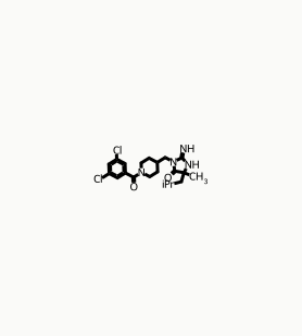 CC(C)CC1(C)NC(=N)N(CC2CCN(C(=O)c3cc(Cl)cc(Cl)c3)CC2)C1=O